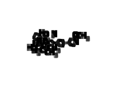 C=C(OC(C)(C)C)N1[C@@H]2CC[C@@H](C2)[C@H]1C(=O)N[C@H](C#N)Cc1ccc(-c2ccnc(OC)c2)cc1